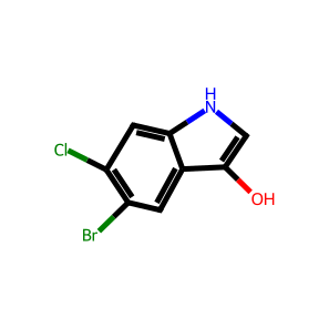 Oc1c[nH]c2cc(Cl)c(Br)cc12